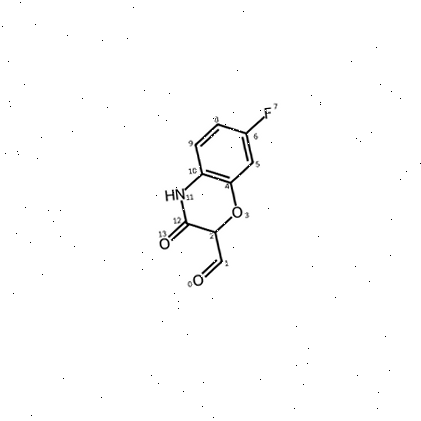 O=CC1Oc2cc(F)ccc2NC1=O